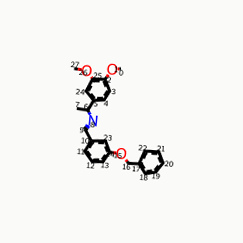 COc1ccc(C(C)/N=C/c2cccc(OCc3ccccc3)c2)cc1OC